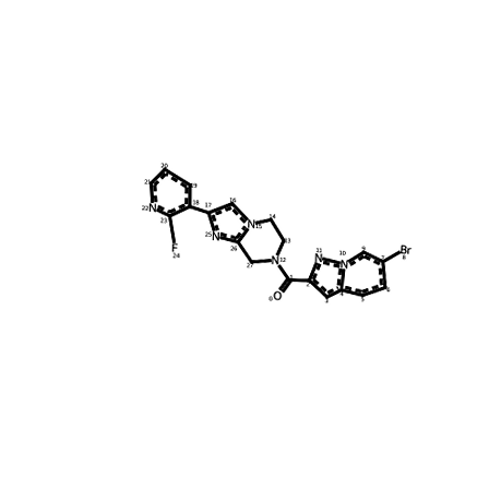 O=C(c1cc2ccc(Br)cn2n1)N1CCn2cc(-c3cccnc3F)nc2C1